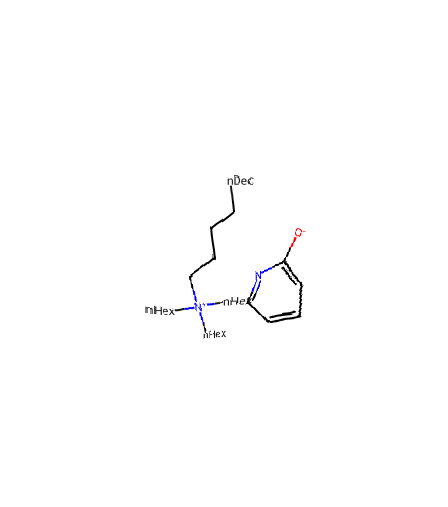 CCCCCCCCCCCCCC[N+](CCCCCC)(CCCCCC)CCCCCC.[O-]c1ccccn1